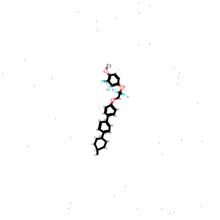 CCOc1ccc(OC(F)(F)COc2ccc(-c3ccc(C4CCC(C)CC4)cc3)cc2)c(F)c1F